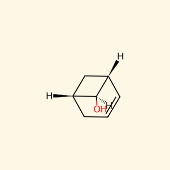 O[C@H]1[C@@H]2CC=C[C@H]1C2